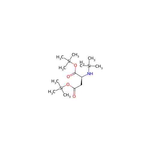 C[Si](C)(C)N[C@@H](CC(=O)O[Si](C)(C)C)C(=O)O[Si](C)(C)C